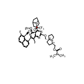 C#Cc1c(F)ccc2cccc(-c3nc(OC(C)C)c4c(N5CC6CCC(C5)N6C(=O)C(F)(F)F)nc(OC[C@]56CCCN5[C@@H](COC(=O)N(C)C)CC6)nc4c3F)c12